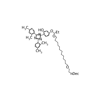 CCCCCCCCCCCCOCCCCCCCCCCCCCOC(CC)Oc1ccc(-c2nc(-c3ccc(C)cc3C)nc(-c3ccc(C)cc3C)n2)c(O)c1